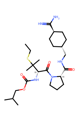 CCSC(C)(C)[C@@H](NC(=O)OCC(C)C)C(=O)N1CCC[C@H]1C(=O)NC[C@H]1CC[C@H](C(=N)N)CC1